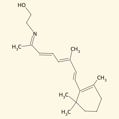 CC(C=CC1=C(C)CCCC1(C)C)=CC=CC(C)=NCCO